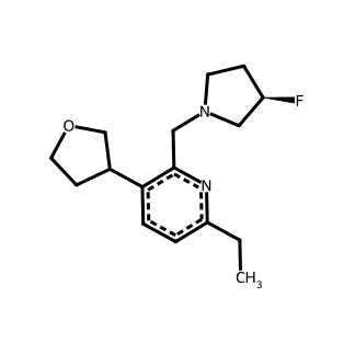 CCc1ccc(C2CCOC2)c(CN2CC[C@@H](F)C2)n1